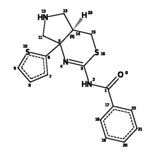 O=C(NC1=NC2(c3cccs3)CNC[C@H]2CS1)c1ccccc1